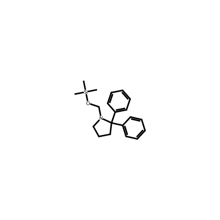 C[Si](C)(C)OCN1CCCC1(c1ccccc1)c1ccccc1